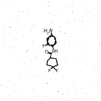 Nc1ccc(NC(=O)C2CCC(F)(F)CC2)c(F)c1